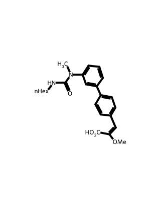 CCCCCCNC(=O)N(C)c1cccc(-c2ccc(C=C(OC)C(=O)O)cc2)c1